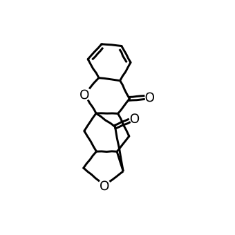 O=C1C2C=CC=CC2OC23CC4COC(C2=O)C4CC13